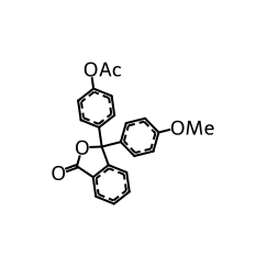 COc1ccc(C2(c3ccc(OC(C)=O)cc3)OC(=O)c3ccccc32)cc1